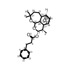 C[C@H]1[C@H](OC(=O)CCc2ccccc2)OC2OC(C)(I)CCC3[C@H](C)CC[C@@H]1[C@@]23OO